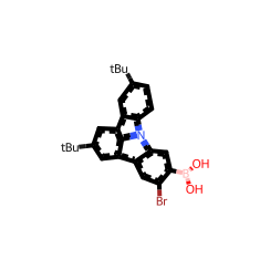 CC(C)(C)c1ccc2c(c1)c1cc(C(C)(C)C)cc3c4cc(Br)c(B(O)O)cc4n2c13